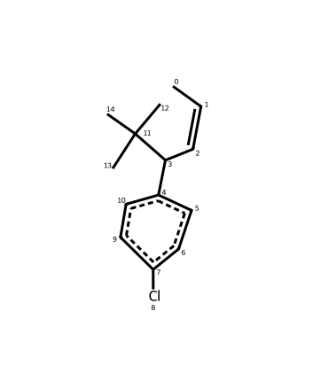 C/C=C\C(c1ccc(Cl)cc1)C(C)(C)C